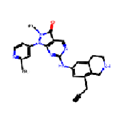 C#CCc1cc(Nc2ncc3c(=O)n(C(C)C)n(-c4ccnc(C(C)(C)C)c4)c3n2)cc2c1CNCC2